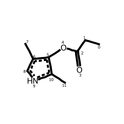 CCC(=O)Oc1c(C)c[nH]c1C